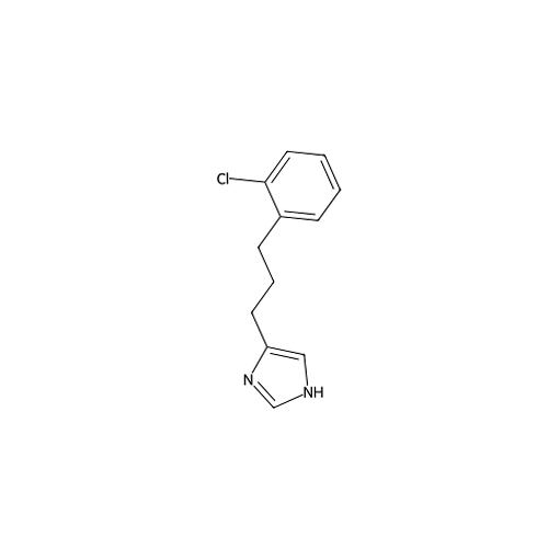 Clc1ccccc1CCCc1c[nH]cn1